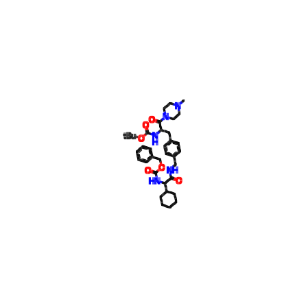 CN1CCN(C(=O)C(Cc2ccc(CNC(=O)C(NC(=O)OCc3ccccc3)C3CCCCC3)cc2)NC(=O)OC(C)(C)C)CC1